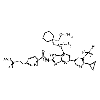 COCC1(CN(C)c2cc(-c3cnc(C4CC4)c(C(F)(F)F)c3)nc3nc(NC(=O)c4ccc(CCC(=O)O)cn4)[nH]c23)CCCCC1